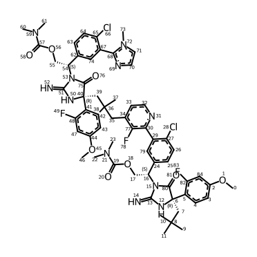 COc1ccc([C@@]2(CC(C)(C)C)NC(=N)N([C@H](COC(=O)N(C)C)c3ccc(Cl)c(-c4nccc(CC(C)(C)C[C@]5(c6ccc(OC)cc6F)NC(=N)N([C@H](COC(=O)N(C)C)c6ccc(Cl)c(-c7nccn7C)c6)C5=O)c4F)c3)C2=O)c(F)c1